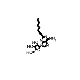 CCCCCCC#Cc1nc(N)c2ncn([C@@H]3O[C@H](CO)[C@@H](O)[C@@H]3O)c2n1